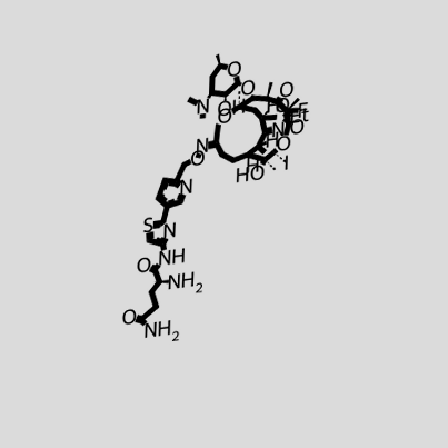 CCC(=O)/N=C1\[C@H](C)C[C@@]2(C)OC/C(=N/OCc3ccc(-c4nc(NC(=O)[C@@H](N)CCC(N)=O)cs4)cn3)CC[C@H]([C@H]1C)[C@](C)(O)[C@@H](I)OC(=O)[C@@](C)(F)C(=O)[C@H](C)[C@H]2O[C@@H]1O[C@H](C)C[C@H](N(C)C)[C@H]1O